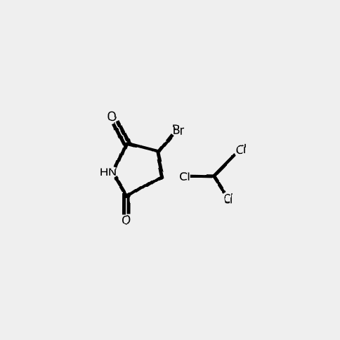 ClC(Cl)Cl.O=C1CC(Br)C(=O)N1